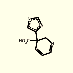 O=C(O)C1(c2cncs2)C=CC=NC1